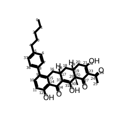 CCCCCc1ccc(-c2ccc(O)c3c2C[C@@H]2C[C@@H]4CC(O)=C(C(C)=O)C(=O)[C@]4(C)C(O)=C2C3=O)cc1